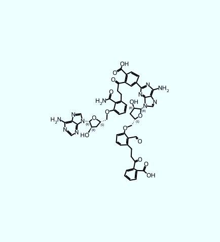 NC(=O)c1c(CCC(=O)c2cc(-c3nc(N)c4ncn([C@@H]5O[C@H](COc6cccc(CCC(=O)c7ccccc7C(=O)O)c6C=O)C[C@H]5O)c4n3)ccc2C(=O)O)cccc1OC[C@@H]1C[C@@H](O)[C@H](n2cnc3c(N)ncnc32)O1